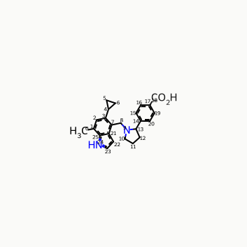 Cc1cc(C2CC2)c(CN2CCCC2c2ccc(C(=O)O)cc2)c2cc[nH]c12